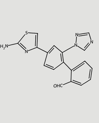 Nc1nc(-c2ccc(-c3ccccc3C=O)c(-n3cncn3)c2)cs1